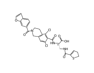 O=C(NC[C@H](NC(=O)c1c(Cl)cc2c(c1Cl)CCN(C(=O)c1ccc3ccoc3c1)C2)C(=O)O)C1=CCCS1